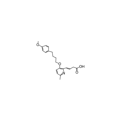 COc1ccc(CCCCOc2ccc(C)nc2C=CCC(=O)O)cc1